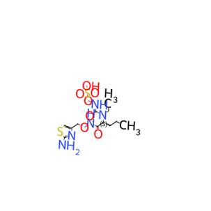 CCC[C@@H](C(=O)NOCc1csc(N)n1)N(CC)C(=O)NOS(=O)(=O)O